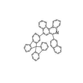 c1ccc2c(c1)-c1ccccc1C21c2ccccc2-c2ccc(-c3cc4c(-c5ccc6ccccc6c5)nc5ccccc5c4c4ccccc34)cc21